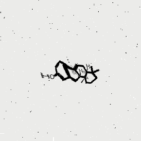 CC1(C)CCC[C@@]2(C)[C@H]1CC[C@]1(C)c3ccc(O)cc3C[C@@H]21